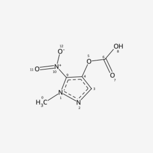 Cn1ncc(OC(=O)O)c1[N+](=O)[O-]